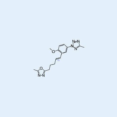 COc1ccc(-n2nnc(C)n2)cc1/C=C/CCCc1nnc(C)o1